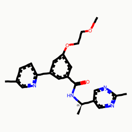 COCCOc1cc(C(=O)N[C@H](C)c2cnc(C)nc2)cc(-c2ccc(C)cn2)c1